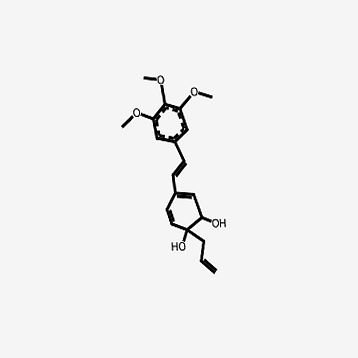 C=CCC1(O)C=CC(C=Cc2cc(OC)c(OC)c(OC)c2)=CC1O